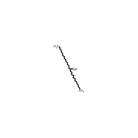 CCCCCCCCCCCCCCCC(CO)CCCCCCCCCCCCC